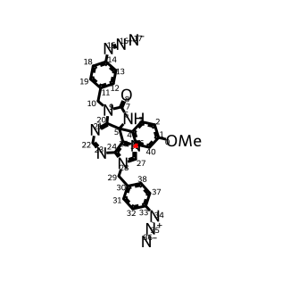 COc1ccc(C23NC(=O)N(Cc4ccc(N=[N+]=[N-])cc4)C2=NC=Nc2c3ncn2Cc2ccc(N=[N+]=[N-])cc2)cc1